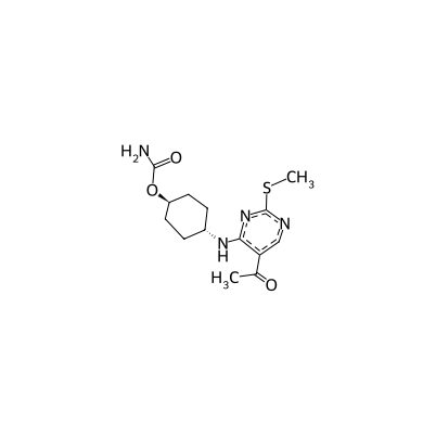 CSc1ncc(C(C)=O)c(N[C@H]2CC[C@H](OC(N)=O)CC2)n1